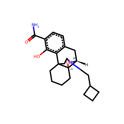 NC(=O)c1ccc2c(c1O)C13CCCC[C@@]1(O)[C@@H](C2)N(CC1CCC1)CC3